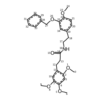 COc1cc(OC)c(OC)cc1CCC(=O)NCCc1ccc(OC)c(OCc2ccccc2)c1